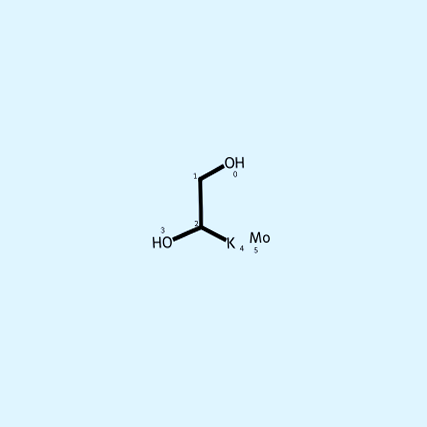 OC[CH](O)[K].[Mo]